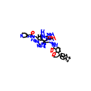 CC1(C)CCOc2c(C(=O)NC3CN4C(=N)N[C@@H](CNC(=O)c5ccncc5)[C@@H]5NC(=N)N[C@@]54[C@@H]3O)cccc21